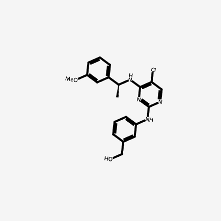 COc1cccc([C@H](C)Nc2nc(Nc3cccc(CO)c3)ncc2Cl)c1